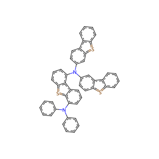 c1ccc(N(c2ccccc2)c2cccc3c2sc2cccc(N(c4ccc5c(c4)sc4ccccc45)c4ccc5sc6ccccc6c5c4)c23)cc1